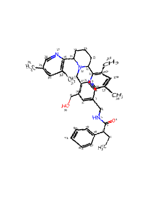 CCC(C(=O)NCc1ccc(CN2C(c3ncc(C)cc3C)CCCC2c2ncc(C)cc2C)c(CO)c1)c1ccccc1